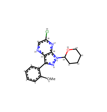 COc1ccccc1-c1nn(C2CCCCO2)c2nc(Cl)cnc12